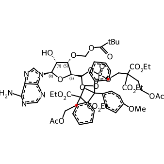 CCOC(=O)C(CCOC(C)=O)(COP(=O)(OCC(CCOC(C)=O)(C(=O)OCC)C(=O)OCC)OC(OC(c1ccccc1)(c1ccccc1)c1ccc(OC)cc1)[C@H]1O[C@@H](n2cnc3c(N)ncnc32)[C@H](O)[C@@H]1OCOC(=O)C(C)(C)C)C(=O)OCC